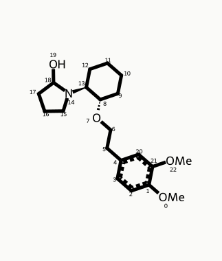 COc1ccc(CCO[C@H]2CCCC[C@@H]2N2CCCC2O)cc1OC